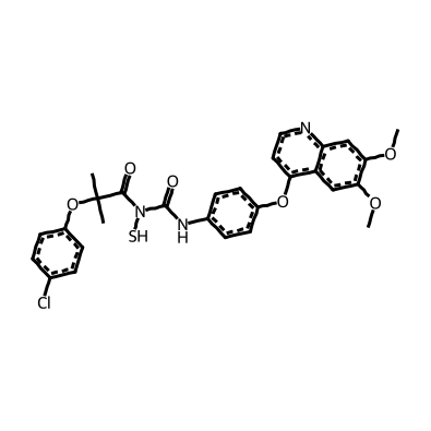 COc1cc2nccc(Oc3ccc(NC(=O)N(S)C(=O)C(C)(C)Oc4ccc(Cl)cc4)cc3)c2cc1OC